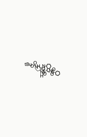 CC(C)(C)OC(=O)N1CCC(NS(=O)(=O)c2cn(S(=O)(=O)c3ccccc3)c3cccc(N)c23)CC1